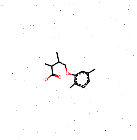 Cc1ccc(C)c(OCC(C)C(C)C(=O)O)c1